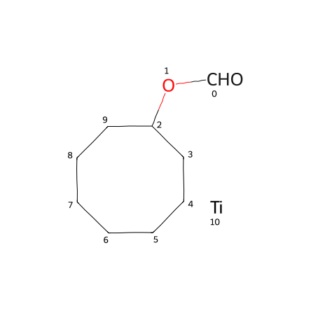 O=COC1CCCCCCC1.[Ti]